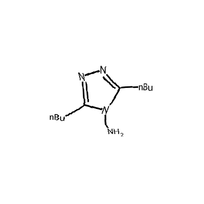 CCCCc1nnc(CCCC)n1N